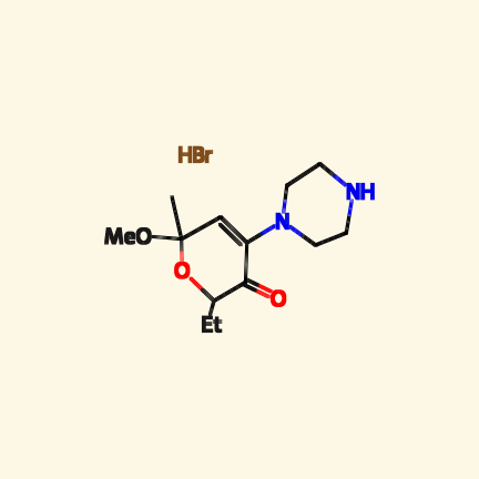 Br.CCC1OC(C)(OC)C=C(N2CCNCC2)C1=O